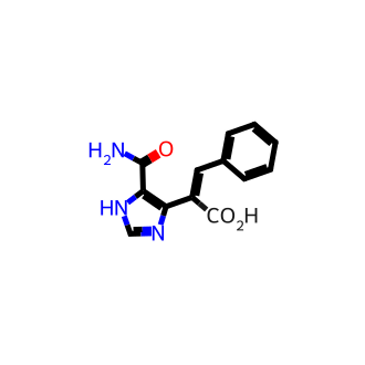 NC(=O)c1[nH]cnc1C(=Cc1ccccc1)C(=O)O